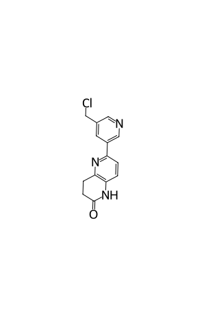 O=C1CCc2nc(-c3cncc(CCl)c3)ccc2N1